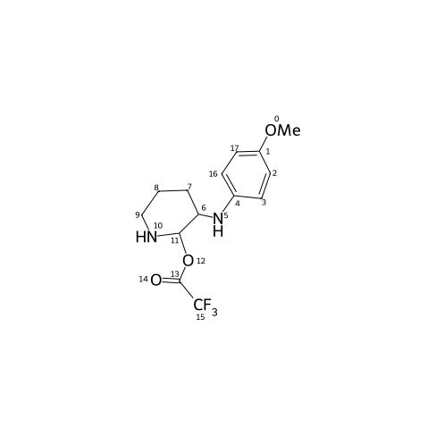 COc1ccc(NC2CCCNC2OC(=O)C(F)(F)F)cc1